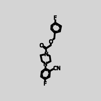 N#Cc1cc(F)ccc1N1CCN(C(=O)COCc2ccc(F)cc2)CC1